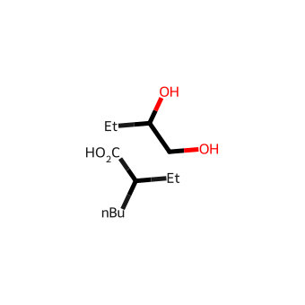 CCC(O)CO.CCCCC(CC)C(=O)O